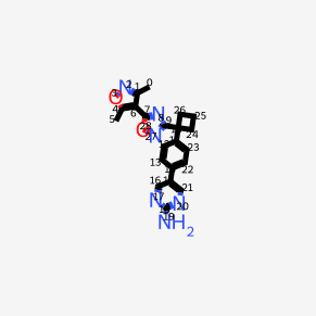 Cc1noc(C)c1-c1nc(C2(c3ccc(-c4cnc(N)nc4)cc3)CCC2)no1